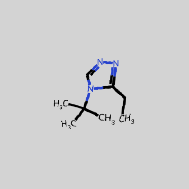 CCc1nncn1C(C)(C)C